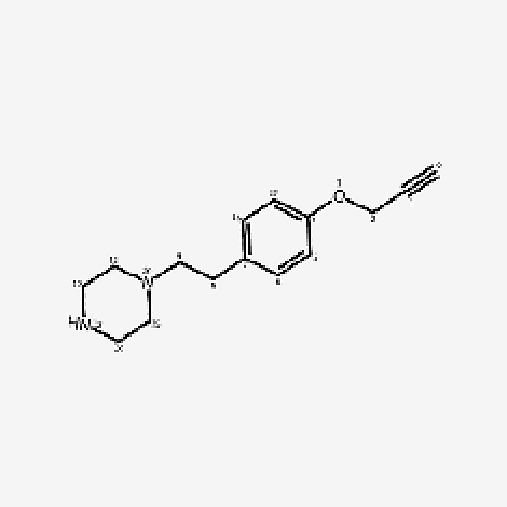 C#CCOc1ccc(CCN2CCNCC2)cc1